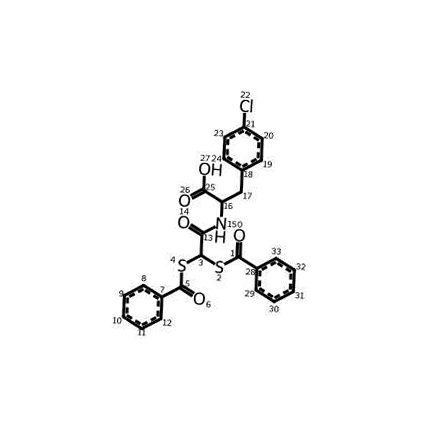 O=C(SC(SC(=O)c1ccccc1)C(=O)NC(Cc1ccc(Cl)cc1)C(=O)O)c1ccccc1